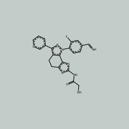 N=Cc1ccc(-n2nc(-c3cccnc3)c3c2-c2sc(NC(=O)CO)nc2CC3)c(F)c1